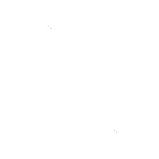 CC(ON)c1ccc(CN)cc1